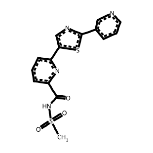 CS(=O)(=O)NC(=O)c1cccc(-c2cnc(-c3cccnc3)s2)n1